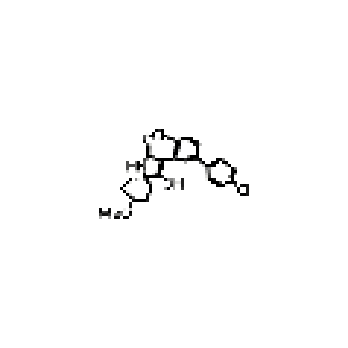 CO[C@H]1CC[C@]2(CC1)NC(=O)C(c1cc(-c3ccc(Cl)cc3)ccc1Cl)=C2O